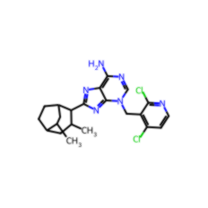 CC1CC2CCC1CC(C)C2c1nc2c(N)ncn(Cc3c(Cl)ccnc3Cl)c-2n1